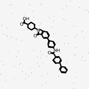 O=C(Nc1ccc(-c2ccc3c(c2)C(=O)N(C2CCC(C(=O)O)CC2)C3)cc1)c1ccc(-c2ccccc2)cc1